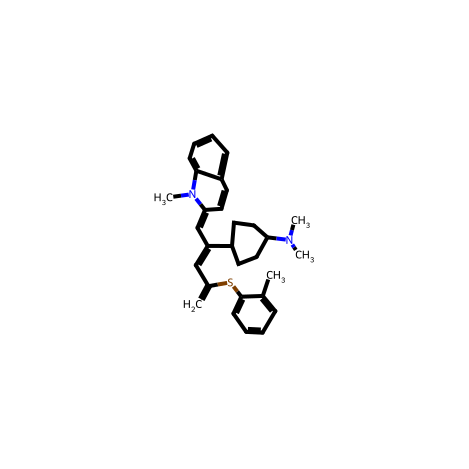 C=C(/C=C(/C=C1\C=Cc2ccccc2N1C)C1CCC(N(C)C)CC1)Sc1ccccc1C